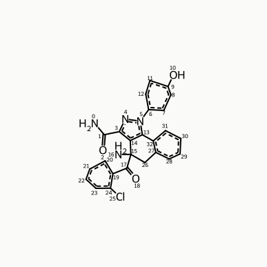 NC(=O)c1nn(-c2ccc(O)cc2)c2c1C(N)(C(=O)c1ccccc1Cl)Cc1ccccc1-2